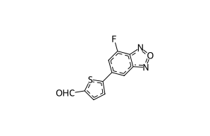 O=Cc1ccc(-c2cc(F)c3nonc3c2)s1